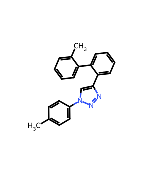 Cc1ccc(-n2cc(-c3ccccc3-c3ccccc3C)nn2)cc1